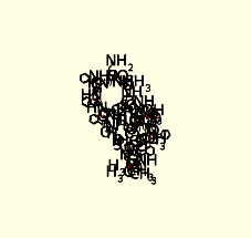 CCCCN(CCSSCCC(=O)N[C@H](Cc1ccccc1)C(=O)N[C@H]1CSSCC(CC(=O)NC(CO)[C@@H](C)O)NC(=O)C([C@@H](C)O)NC(=O)[C@H](CCCCN)NC(=O)[C@@H](Cc2c[nH]c3ccccc23)NC(=O)[C@H](Cc2ccccc2)NC1=O)C(=O)O[C@@H](C(=O)O[C@H]1CC2(O)[C@@H](OC(=O)c3ccccc3)[C@H]3C(C)(C(=O)[C@H](OC)C(=C1C)C2(C)C)C(OC)CC1OC[C@]13OC(C)=O)C(NC(=O)OC(C)(C)C)c1ccccc1